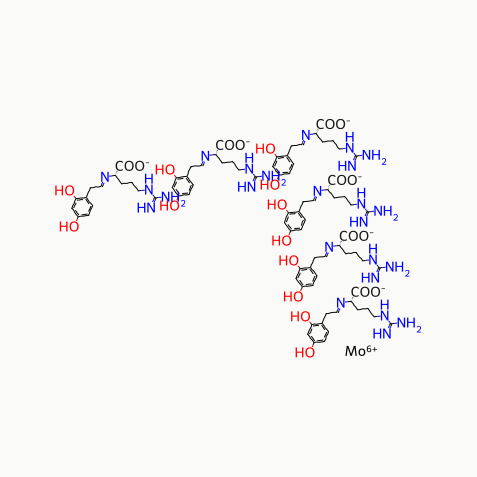 N=C(N)NCCC[C@H](N=CCc1ccc(O)cc1O)C(=O)[O-].N=C(N)NCCC[C@H](N=CCc1ccc(O)cc1O)C(=O)[O-].N=C(N)NCCC[C@H](N=CCc1ccc(O)cc1O)C(=O)[O-].N=C(N)NCCC[C@H](N=CCc1ccc(O)cc1O)C(=O)[O-].N=C(N)NCCC[C@H](N=CCc1ccc(O)cc1O)C(=O)[O-].N=C(N)NCCC[C@H](N=CCc1ccc(O)cc1O)C(=O)[O-].[Mo+6]